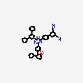 N#Cc1cc(C#N)cc(-c2ccc(-c3nc(-c4cc(-c5ccccc5)cc(-c5ccccc5)c4)nc(-c4ccc5c(c4)oc4cccc(-c6ccccc6)c45)n3)cc2)c1